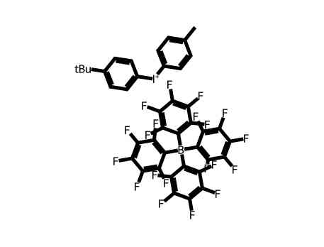 Cc1ccc([I+]c2ccc(C(C)(C)C)cc2)cc1.Fc1c(F)c(F)c([B-](c2c(F)c(F)c(F)c(F)c2F)(c2c(F)c(F)c(F)c(F)c2F)c2c(F)c(F)c(F)c(F)c2F)c(F)c1F